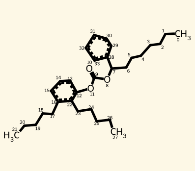 CCCCCCCC(OC(=O)Oc1cccc(CCCCC)c1CCCCC)c1ccccc1